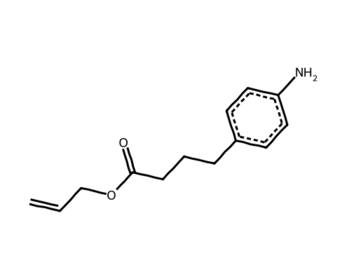 C=CCOC(=O)CCCc1ccc(N)cc1